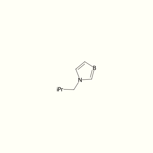 CC(C)Cn1cbcc1